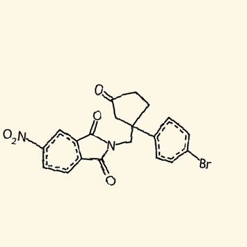 O=C1CCC(CN2C(=O)c3ccc([N+](=O)[O-])cc3C2=O)(c2ccc(Br)cc2)C1